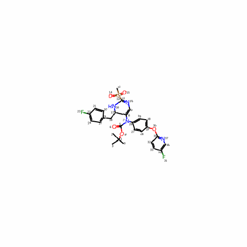 CC(C)(C)OC(=O)N(C1=CN=C(S(C)(=O)=O)NC1Cc1ccc(F)cc1)c1ccc(Oc2ccc(F)cn2)cc1